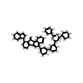 C=C1c2c(cccc2C2C=Cc3ccccc32)-c2cc(-c3cccc(-c4cccc(-c5cc(-c6ccccc6)nc(-c6ccccc6)n5)c4)c3)c3ccccc3c21